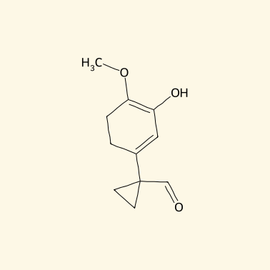 COC1=C(O)C=C(C2(C=O)CC2)CC1